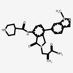 C=C(CN1Cc2c(-c3ccc4cnn(C)c4c3)ccc(NC(=O)C3CCNCC3)c2C1=O)C(N)=O